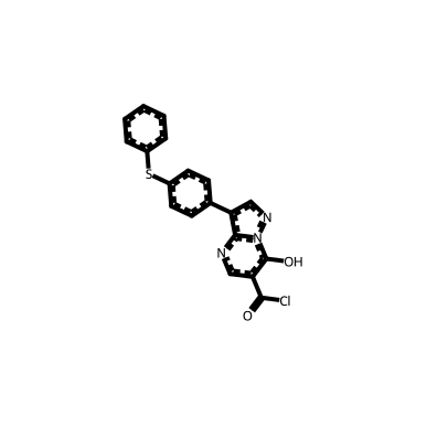 O=C(Cl)c1cnc2c(-c3ccc(Sc4ccccc4)cc3)cnn2c1O